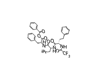 CC(C)CC(NC(=O)[C@H](CCc1ccccc1)NC(=O)C(F)(F)F)C(=O)N[C@@H](Cc1ccccc1)C(=O)OC(=O)c1ccccc1